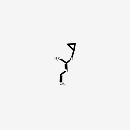 C=C/N=C(\C)OC1CC1